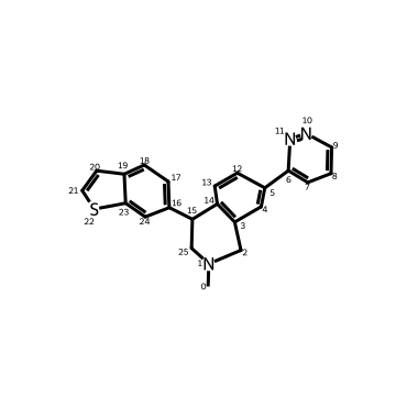 CN1Cc2cc(-c3cccnn3)ccc2C(c2ccc3ccsc3c2)C1